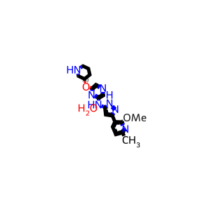 COc1nc(C)ccc1-c1cc(Nc2cncc(O[C@@H]3CCCNC3)n2)[nH]n1.O